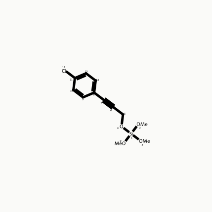 CO[Si](OC)(OC)OCC#Cc1ccc(Cl)cc1